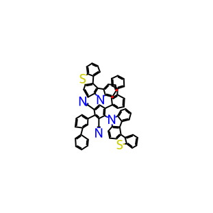 N#Cc1c(-c2cccc(-c3ccccc3)c2)c(C#N)c(-n2c3ccccc3c3c4c(ccc32)sc2ccccc24)c(-c2cccc(-c3ccccc3)c2)c1-n1c2ccccc2c2c3c(ccc21)sc1ccccc13